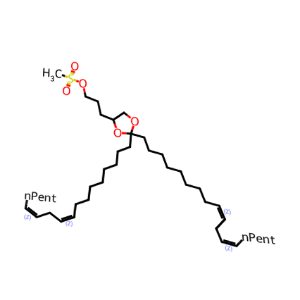 CCCCC/C=C\C/C=C\CCCCCCCCC1(CCCCCCCC/C=C\C/C=C\CCCCC)OCC(CCCOS(C)(=O)=O)O1